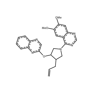 C=CCC1CN(c2ncnc3cc(OC)c(OC)cc23)CC1Oc1cnc2ccccc2n1